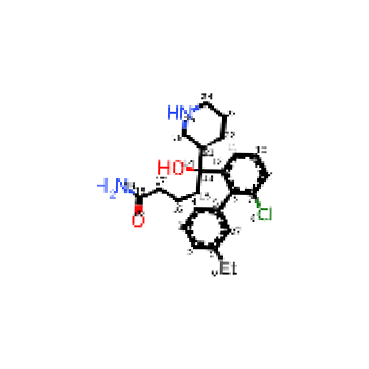 CCc1cccc(-c2c(Cl)cccc2[C@](O)(CCCC(N)=O)[C@@H]2CCCNC2)c1